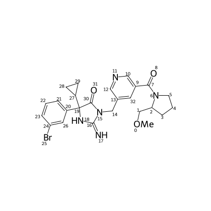 COCC1CCCN1C(=O)c1cncc(CN2C(=N)NC(c3cccc(Br)c3)(C3CC3)C2=O)c1